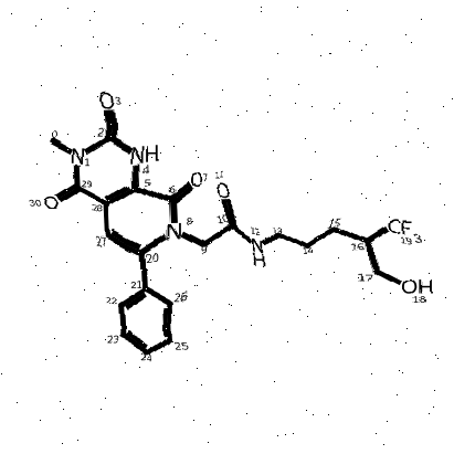 Cn1c(=O)[nH]c2c(=O)n(CC(=O)NCCCC(CO)C(F)(F)F)c(-c3ccccc3)cc2c1=O